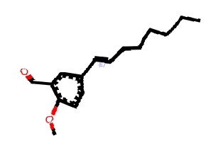 CCCCCC/C=C/c1ccc(OC)c(C=O)c1